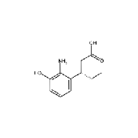 CC[C@@H](CC(=O)O)c1cccc(O)c1N